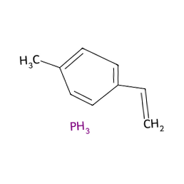 C=Cc1ccc(C)cc1.P